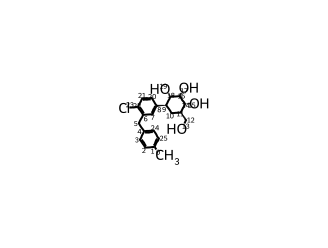 Cc1ccc(Cc2cc([C@@H]3C[C@H](CO)[C@@H](O)[C@H](O)[C@H]3O)ccc2Cl)cc1